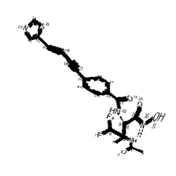 CC(=O)NC(C)(C(F)F)[C@H](NC(=O)c1ccc(C#CC#Cc2cncs2)cc1)C(=O)NO